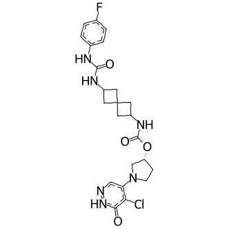 O=C(Nc1ccc(F)cc1)NC1CC2(C1)CC(NC(=O)O[C@@H]1CCN(c3cn[nH]c(=O)c3Cl)C1)C2